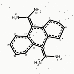 NC(N)=c1c2ccccc2c(=C(N)N)c2ccccc12